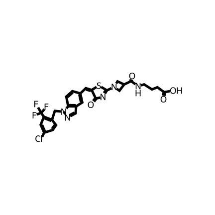 O=C(O)CCCNC(=O)C1CN(C2=NC(=O)C(=Cc3ccc4c(cnn4Cc4ccc(Cl)cc4C(F)(F)F)c3)S2)C1